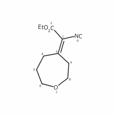 [C-]#[N+]C(C(=O)OCC)=C1CCCOCC1